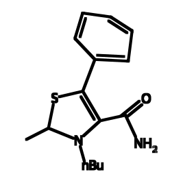 CCCCN1C(C(N)=O)=C(c2ccccc2)SC1C